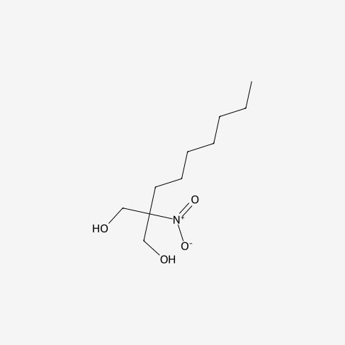 CCCCCCCC(CO)(CO)[N+](=O)[O-]